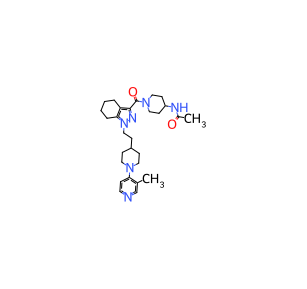 CC(=O)NC1CCN(C(=O)c2nn(CCC3CCN(c4ccncc4C)CC3)c3c2CCCC3)CC1